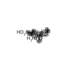 CC[C@H](C)[C@H](NC(=O)CC(N)C(Cc1ccccc1)NC(=O)[C@@H](NC(=O)Cc1cccc(NS(C)(=O)=O)c1)C(C)C)C(=O)N[C@H](C(=O)O)C(C)C